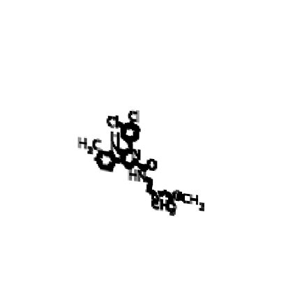 COC(=O)CN(C)CCNC(=O)c1cc2c([nH]c3c(C)cccc32)c(-c2ccc(Cl)c(Cl)c2)n1